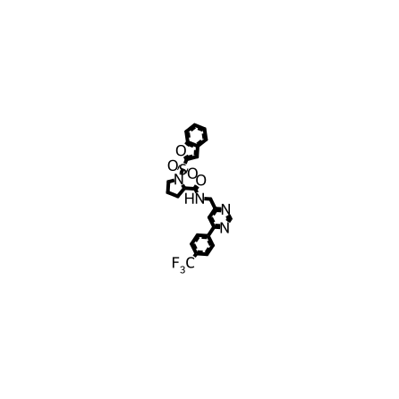 O=C(NCc1cc(-c2ccc(C(F)(F)F)cc2)ncn1)C1CCCN1S(=O)(=O)c1cc2ccccc2o1